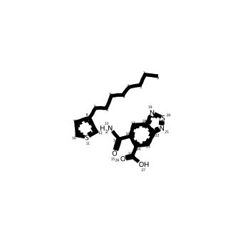 CCCCCCCCc1ccsc1.NC(=O)c1cc2nsnc2cc1C(=O)O